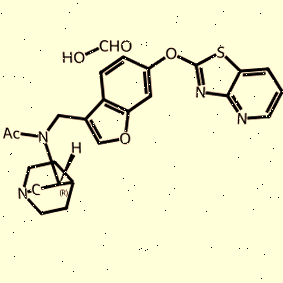 CC(=O)N(Cc1coc2cc(Oc3nc4ncccc4s3)ccc12)[C@H]1CN2CCC1CC2.O=CO